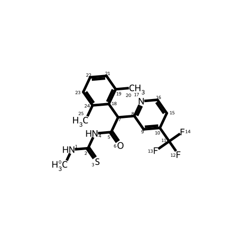 CNC(=S)NC(=O)C(c1cc(C(F)(F)F)ccn1)c1c(C)cccc1C